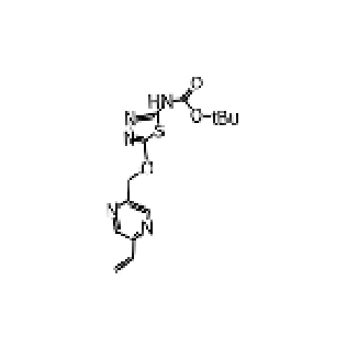 C=Cc1cnc(COc2nnc(NC(=O)OC(C)(C)C)s2)cn1